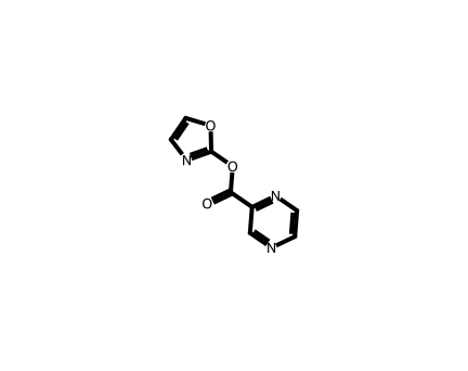 O=C(Oc1ncco1)c1cnccn1